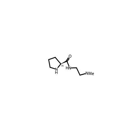 CNCCNC(=O)[C@@H]1CCCN1